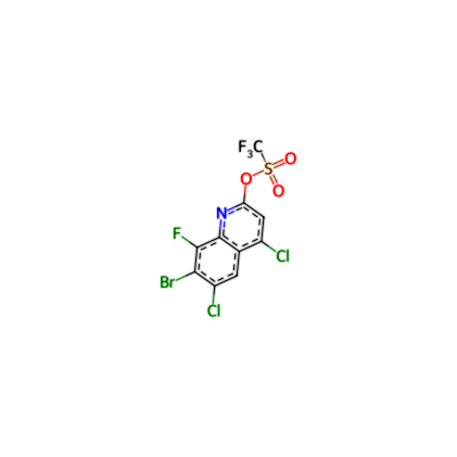 O=S(=O)(Oc1cc(Cl)c2cc(Cl)c(Br)c(F)c2n1)C(F)(F)F